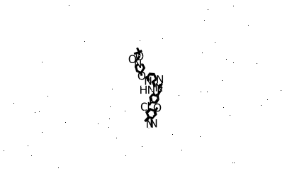 Cn1cc2ccc(Oc3cc(F)c(Nc4ncnc5ccc(OC6CCN(C(=O)OC(C)(C)C)CC6)nc45)cc3Cl)cc2n1